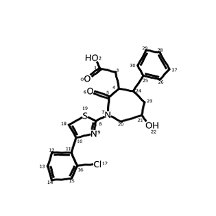 O=C(O)CC1C(=O)N(c2nc(-c3ccccc3Cl)cs2)CC(O)CC1c1ccccc1